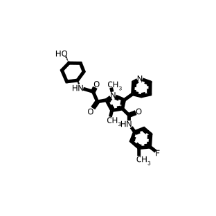 Cc1cc(NC(=O)c2c(C)c(C(=O)C(=O)N[C@H]3CC[C@@H](O)CC3)n(C)c2-c2cccnc2)ccc1F